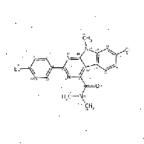 CCc1ccc(-c2nc(C(=O)N(C)C)c3c4ccc(Cl)cc4n(C)c3n2)cn1